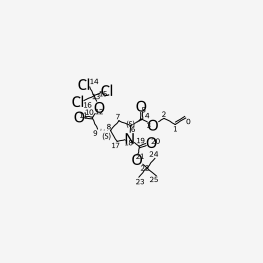 C=CCOC(=O)[C@@H]1C[C@@H](CC(=O)OC(Cl)(Cl)Cl)CN1C(=O)OC(C)(C)C